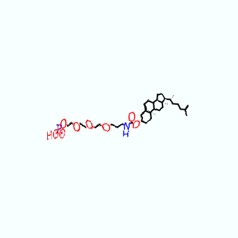 CC(C)CCC[C@@H](C)C1CCC2C3CC=C4C[C@@H](OC(=O)NCCCOCCOCCOCCOP(C)(=O)O)CC[C@]4(C)C3CC[C@@]21C